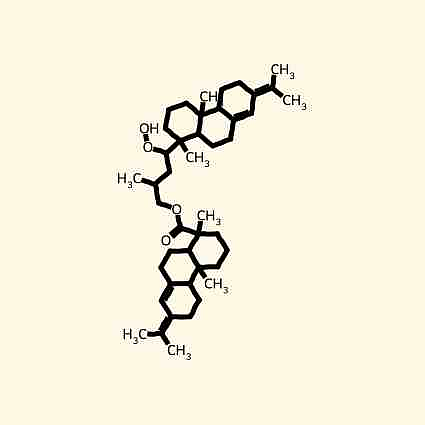 CC(C)=C1C=C2CCC3C(C)(C(=O)OCC(C)CC(OO)C4(C)CCCC5(C)C6CCC(=C(C)C)C=C6CCC45)CCCC3(C)C2CC1